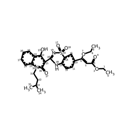 CCOC(=O)C=C(OCC)c1ccc2c(c1)S(=O)(=O)N=C(c1c(O)c3ccccc3n(CCC(C)C)c1=O)N2